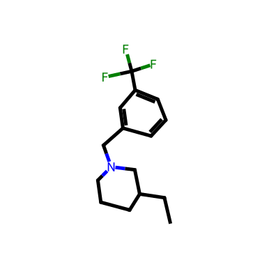 CCC1CCCN(Cc2cccc(C(F)(F)F)c2)C1